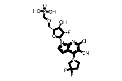 N#Cc1c(Cl)nc2c(ccn2[C@@H]2O[C@H](COCP(=O)(O)O)[C@@H](O)[C@@H]2F)c1N1CCC(F)(F)C1